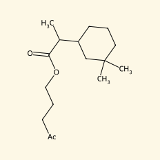 CC(=O)CCCOC(=O)C(C)C1CCCC(C)(C)C1